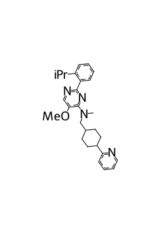 COc1cnc(-c2ccccc2C(C)C)nc1N(C)CC1CCC(c2ccccn2)CC1